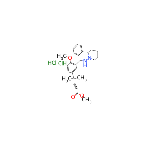 COC(=O)C#CC(C)(C)c1ccc(OC)c(CNN2CCCCC2c2ccccc2)c1.Cl.Cl